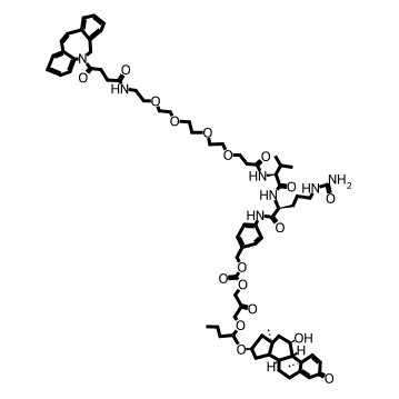 CCCC(OCC(=O)COC(=O)OCc1ccc(NC(=O)[C@H](CCCNC(N)=O)NC(=O)[C@@H](NC(=O)CCOCCOCCOCCOCCNC(=O)CCC(=O)N2Cc3ccccc3/C=C\c3ccccc32)C(C)C)cc1)O[C@@H]1CC2[C@@H]3CCC4=CC(=O)C=C[C@]4(C)[C@H]3[C@@H](O)C[C@]2(C)C1